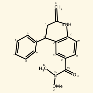 C=C1CC(c2ccccc2)c2cc(C(=O)N(C)OC)ccc2N1